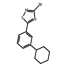 Brc1nsc(-c2cccc(C3CCCCC3)c2)n1